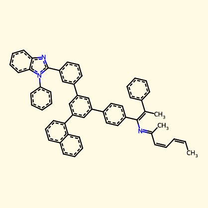 C\C=C/C=C\C(C)=N\C(=C(/C)c1ccccc1)c1ccc(-c2cc(-c3cccc(-c4nc5ccccc5n4-c4ccccc4)c3)cc(-c3cccc4ccccc34)c2)cc1